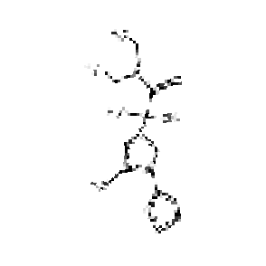 CCN(CC)C(=O)C(C)(C)n1cc(C)c(-c2ccco2)n1